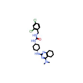 CN(C)c1nc(N[C@H]2CC[C@@H](NC(=O)NCc3ccc(Cl)cc3Cl)CC2)nc2c1CCCC2